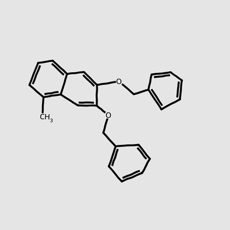 Cc1cccc2cc(OCc3ccccc3)c(OCc3ccccc3)cc12